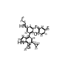 CCSNc1ccc(Oc2ccc(F)cc2F)c(-c2cc(C3CC3)[n+](OC)c3[nH]ccc23)c1